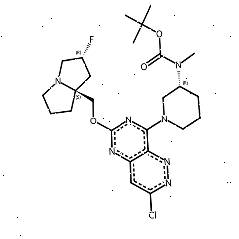 CN(C(=O)OC(C)(C)C)[C@@H]1CCCN(c2nc(OC[C@@]34CCCN3C[C@H](F)C4)nc3cc(Cl)nnc23)C1